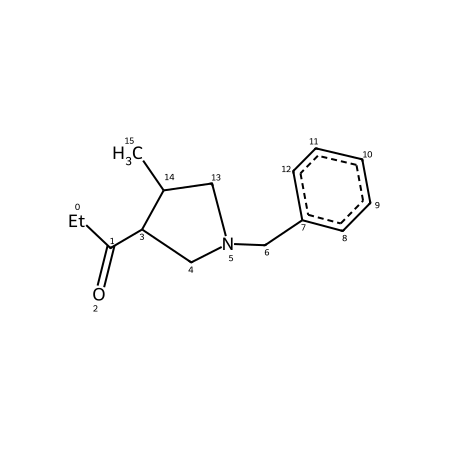 CCC(=O)C1CN(Cc2ccccc2)CC1C